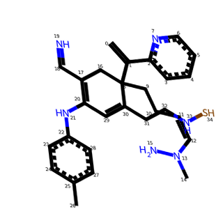 C=C(c1ccccn1)C1(CC/C=C\N(C)N)CC(C=N)=C(Nc2ccc(C)cc2)C=C1CCNS